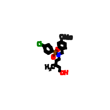 COc1ccc(CN(CC[C@@H](C)CCO)S(=O)(=O)c2ccc(Cl)cc2)cc1